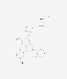 COc1ccc(CNC(=O)N(C(C)C)N2CC(=O)N3[C@@H](Cc4ccc(O)cc4)C(=O)N(Cc4cccc5ccccc45)C[C@@H]32)cc1